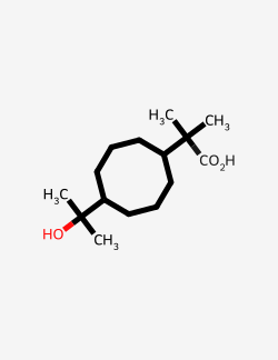 CC(C)(O)C1CCCC(C(C)(C)C(=O)O)CCC1